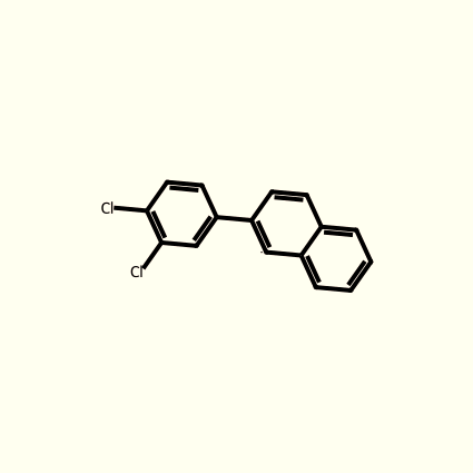 Clc1ccc(-c2[c]c3ccccc3cc2)cc1Cl